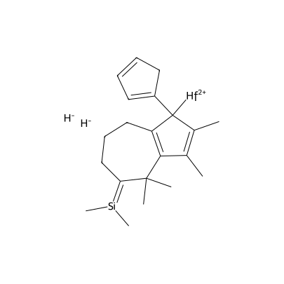 CC1=C(C)[C]([Hf+2])(C2=CC=CC2)C2=C1C(C)(C)C(=[Si](C)C)CCC2.[H-].[H-]